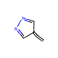 C=C1[C]=NN=C1